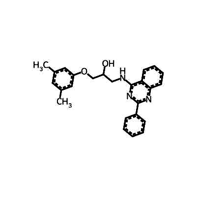 Cc1cc(C)cc(OCC(O)CNc2nc(-c3ccccc3)nc3ccccc23)c1